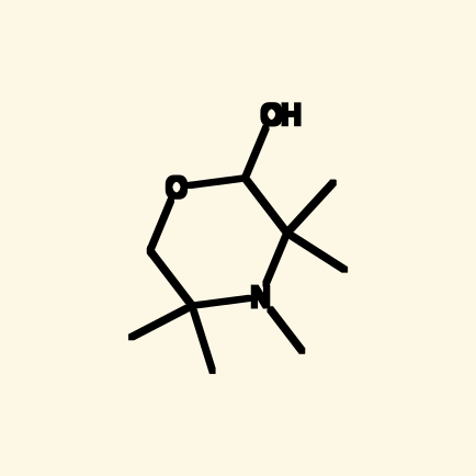 CN1C(C)(C)COC(O)C1(C)C